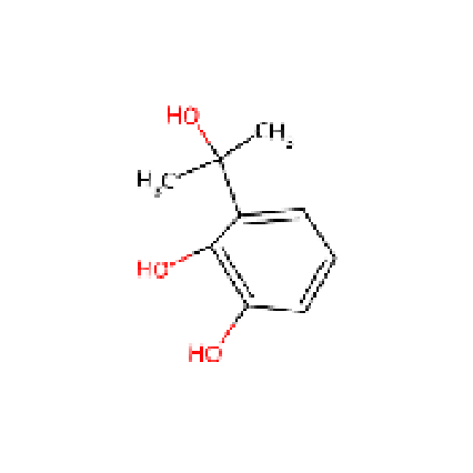 CC(C)(O)c1cccc(O)c1O